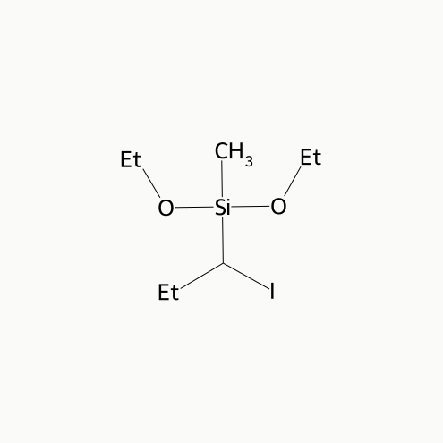 CCO[Si](C)(OCC)C(I)CC